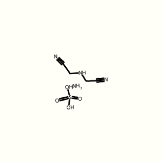 N.N#CCNCC#N.O=S(=O)(O)O